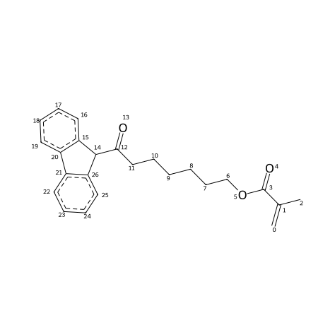 C=C(C)C(=O)OCCCCCCC(=O)C1c2ccccc2-c2ccccc21